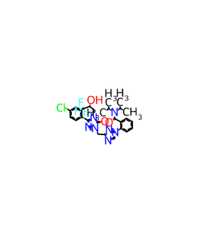 CC(C)N(C(=O)c1ccccc1-n1cnc(Cn2nc(-c3ccc(Cl)cc3)n(C[C@H](O)C(F)(F)F)c2=O)n1)C(C)C